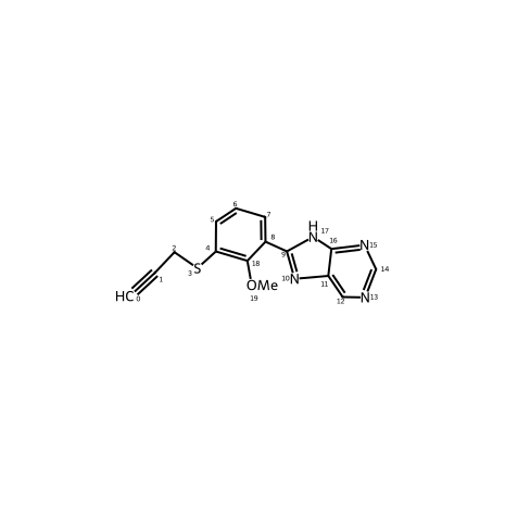 C#CCSc1cccc(-c2nc3cncnc3[nH]2)c1OC